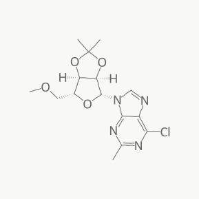 COC[C@H]1O[C@@H](n2cnc3c(Cl)nc(C)nc32)[C@@H]2OC(C)(C)O[C@@H]21